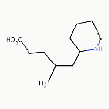 CC(CCC(=O)O)CC1CCCCN1